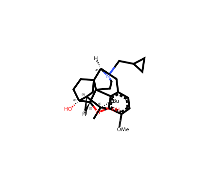 COc1ccc2c3c1O[C@H]1C34CCN(CC3CC3)[C@H](C2)C42CC[C@@]1(O)[C@@H]([C@](C)(O)C(C)(C)C)C2